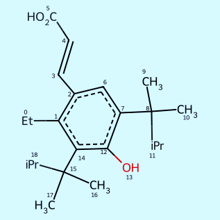 CCc1c(C=CC(=O)O)cc(C(C)(C)C(C)C)c(O)c1C(C)(C)C(C)C